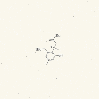 C=C(CC(C)(C)c1c(S)cc(C)cc1CC(C)(C)C)C(C)(C)C